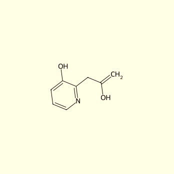 C=C(O)Cc1ncccc1O